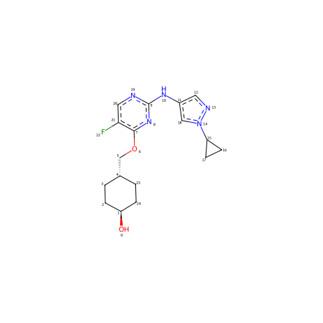 O[C@H]1CC[C@H](COc2nc(Nc3cnn(C4CC4)c3)ncc2F)CC1